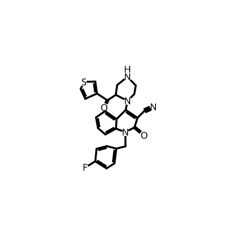 N#Cc1c(N2CCNCC2C(=O)c2ccsc2)c2ccccc2n(Cc2ccc(F)cc2)c1=O